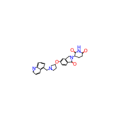 O=C1CCC(N2Cc3cc(OC4CCN(Cc5cccc6ncccc56)C4)ccc3C2=O)C(=O)N1